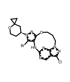 Clc1nn2c3nc(ncc13)Nc1c(nn([C@H]3CCOC4(CC4)C3)c1Br)OCCC2